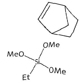 C1=CC2CCC1C2.CC[Si](OC)(OC)OC